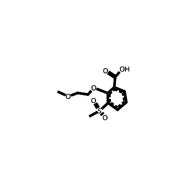 COCCOc1c(C(=O)O)cccc1S(C)(=O)=O